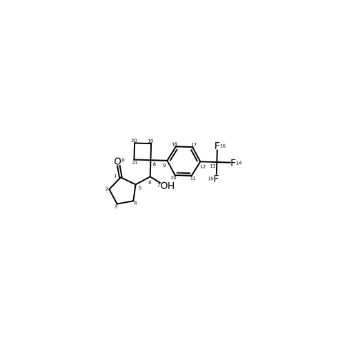 O=C1CCCC1C(O)C1(c2ccc(C(F)(F)F)cc2)CCC1